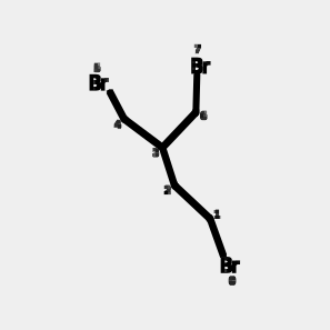 BrCCC(CBr)CBr